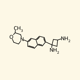 CC1CN(c2ccc3cc(C4(N)CC(N)C4)ccc3c2)CCO1